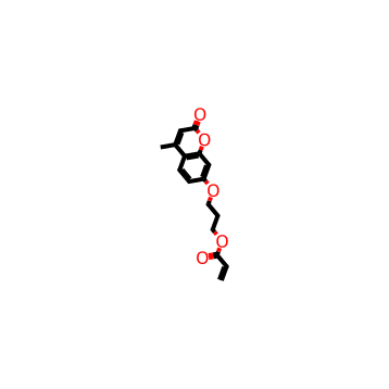 C=CC(=O)OCCCOc1ccc2c(C)cc(=O)oc2c1